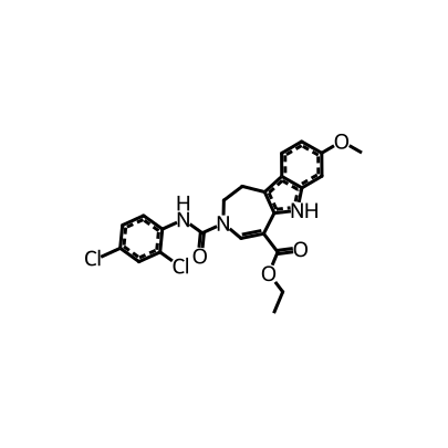 CCOC(=O)C1=CN(C(=O)Nc2ccc(Cl)cc2Cl)CCc2c1[nH]c1cc(OC)ccc21